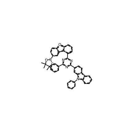 CC1(C)OB(c2ccc3oc4cccc(-c5nc(-c6ccccc6)nc(-c6ccc7c8ccccc8n(-c8ccccc8)c7c6)n5)c4c3c2)OC1(C)C